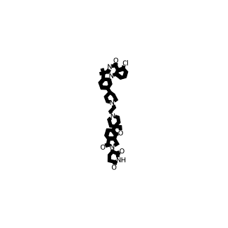 CC1(C)c2ccc(C3CCN(CCN4CCC5(CC4)COc4c5ccc5c4CN(C4CCC(=O)NC4=O)C5=O)CC3)cc2-n2c1nc(=O)c1c(Cl)cccc12